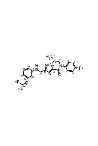 C[C@@H]1CN(c2ccc(F)cc2)C(=O)c2cc(CNc3cccc(OC(F)F)c3)nn21